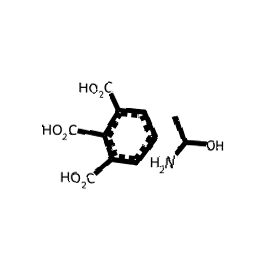 CC(N)O.O=C(O)c1cccc(C(=O)O)c1C(=O)O